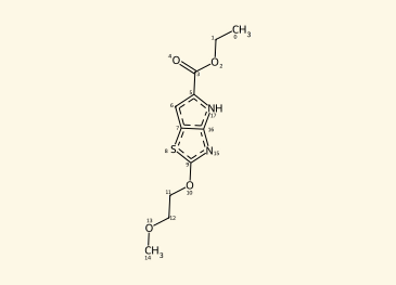 CCOC(=O)c1cc2sc(OCCOC)nc2[nH]1